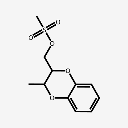 CC1Oc2ccccc2OC1COS(C)(=O)=O